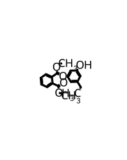 CCc1cccc(O)c1.COC(=O)c1ccccc1C(=O)OC